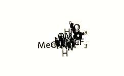 C=CC(=O)Nc1cc(C)ccc1Nc1nc(Nc2nc(OC)nc(OC)n2)ncc1C(F)(F)F